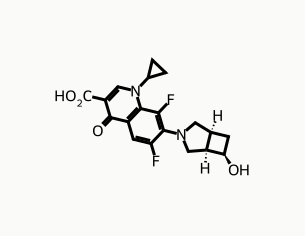 O=C(O)c1cn(C2CC2)c2c(F)c(N3C[C@H]4C[C@@H](O)[C@H]4C3)c(F)cc2c1=O